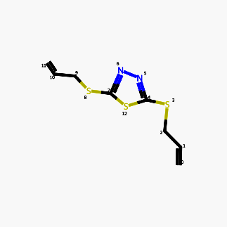 C=CCSc1nnc(SCC=C)s1